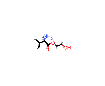 CC(C)C(N)C(=O)OCCO